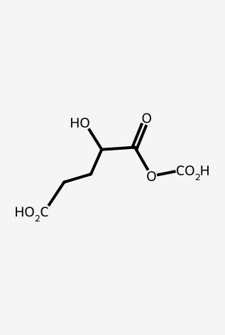 O=C(O)CCC(O)C(=O)OC(=O)O